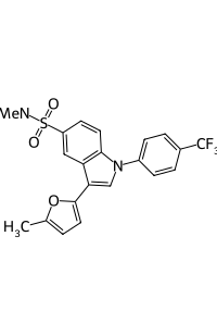 CNS(=O)(=O)c1ccc2c(c1)c(-c1ccc(C)o1)cn2-c1ccc(C(F)(F)F)cc1